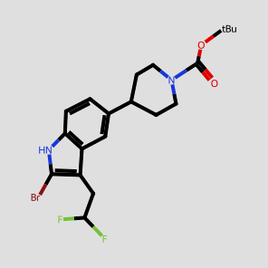 CC(C)(C)OC(=O)N1CCC(c2ccc3[nH]c(Br)c(CC(F)F)c3c2)CC1